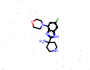 NC1(c2nc3c(N4CCOCC4)cc(F)cc3[nH]2)CCNCC1